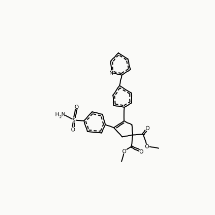 COC(=O)C1(C(=O)OC)CC(c2ccc(-c3ccccn3)cc2)=C(c2ccc(S(N)(=O)=O)cc2)C1